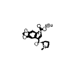 CN1CCC[C@H]1C(=O)c1cn(C(=O)OC(C)(C)C)c2cc3c(cc12)OCO3